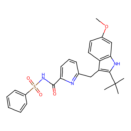 COc1ccc2c(Cc3cccc(C(=O)NS(=O)(=O)c4ccccc4)n3)c(C(C)(C)C)[nH]c2c1